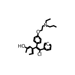 C/C=C(\C=C(/C)O)C(=C(\Cl)c1ccccc1)/c1ccc(OCCN(CC)CCC)cc1